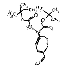 CC(C)(C)OC(=O)NN(C(=O)OC(C)(C)C)c1ccc(C=O)cc1